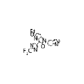 CCOc1ccc2cn(-c3ccc4nn(C)cc4c3)c(=O)c(-c3cnc(C(F)(F)F)nc3)c2n1